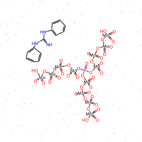 N=C(Nc1ccccc1)Nc1ccccc1.O=P([O][Mo](=[O])(=[O])[O][Mo](=[O])(=[O])[O][Mo](=[O])(=[O])[O][Mo](=[O])(=[O])[OH])([O][Mo](=[O])(=[O])[O][Mo](=[O])(=[O])[O][Mo](=[O])(=[O])[O][Mo](=[O])(=[O])[OH])[O][Mo](=[O])(=[O])[O][Mo](=[O])(=[O])[O][Mo](=[O])(=[O])[O][Mo](=[O])(=[O])[OH]